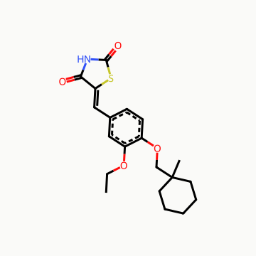 CCOc1cc(/C=C2\SC(=O)NC2=O)ccc1OCC1(C)CCCCC1